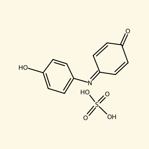 O=C1C=CC(=Nc2ccc(O)cc2)C=C1.O=S(=O)(O)O